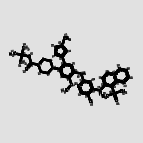 COc1cc(N2CCN(C(=O)OC(C)(C)C)CC2)c(-c2cnn(C)c2)cc1Nc1ncc(Cl)c(Nc2ccc3nccnc3c2P(C)(C)=O)n1